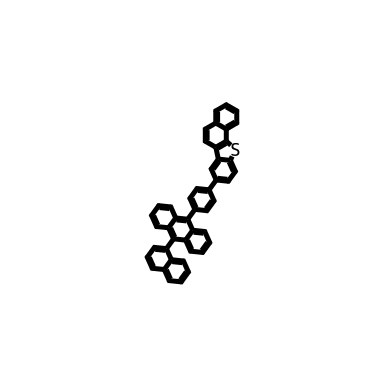 c1ccc2c(-c3c4ccccc4c(-c4ccc(-c5ccc6sc7c8ccccc8ccc7c6c5)cc4)c4ccccc34)cccc2c1